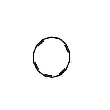 C1=CC=CCC=CCCC=CCC=C1